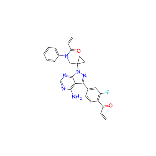 C=CC(=O)c1ccc(-c2nn(C3(CN(C(=O)C=C)c4ccccc4)CC3)c3ncnc(N)c23)cc1F